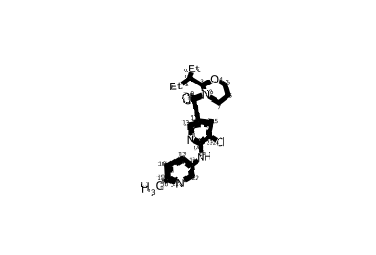 CCC(CC)C1OCCCN1C(=O)c1cnc(Nc2ccc(C)nc2)c(Cl)c1